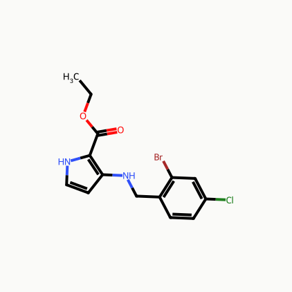 CCOC(=O)c1[nH]ccc1NCc1ccc(Cl)cc1Br